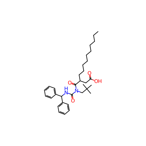 CCCCCCCCCCC(CC(=O)O)C(=O)N(CC(C)(C)C)C(=O)NC(c1ccccc1)c1ccccc1